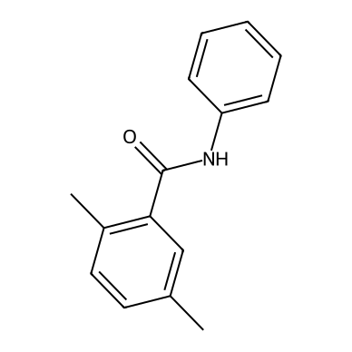 Cc1ccc(C)c(C(=O)Nc2ccccc2)c1